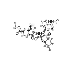 CCNC(=O)C1CCCN1C(=O)[C@H](C)Oc1cc(C(=O)NC(CC(=O)O)C(=O)N2CCN(C(=O)OCC)CC2)nc2cc(C)ccc12